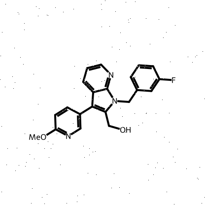 COc1ccc(-c2c(CO)n(Cc3cccc(F)c3)c3ncccc23)cn1